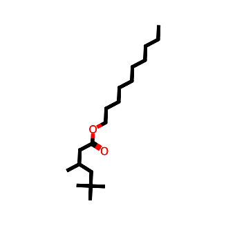 CCCCCCCCCCOC(=O)CC(C)CC(C)(C)C